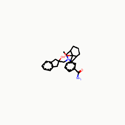 COC1(c2cccc(C(N)=O)c2)C2CCCC1CN(CC1(O)Cc3ccccc3C1)C2